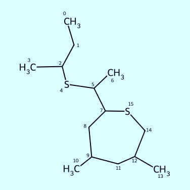 CCC(C)SC(C)C1CC(C)CC(C)CS1